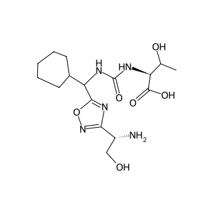 CC(O)[C@H](NC(=O)NC(c1nc([C@H](N)CO)no1)C1CCCCC1)C(=O)O